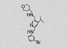 CC(C)c1cc(CNc2cccc(Br)c2)ncc1CNCC1CCOCC1